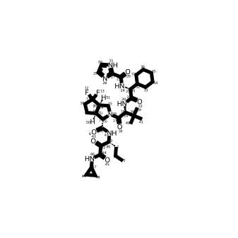 CCC[C@@H](NC(=O)[C@@H]1[C@H]2CCC(F)(F)[C@H]2CN1C(=O)[C@@H](NC(=O)[C@H](NC(=O)c1ncc[nH]1)C1CCCCC1)C(C)(C)C)C(=O)C(=O)NC1CC1